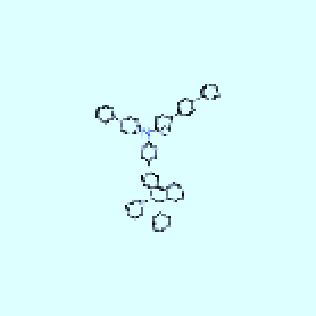 c1ccc(-c2ccc(-c3ccc(N(c4ccc(-c5ccccc5)cc4)c4ccc(-c5ccc6c(-c7ccccc7)c(-c7ccccc7)c7ccccc7c6c5)cc4)cc3)cc2)cc1